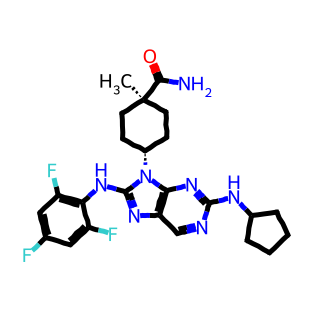 C[C@]1(C(N)=O)CC[C@H](n2c(Nc3c(F)cc(F)cc3F)nc3cnc(NC4CCCC4)nc32)CC1